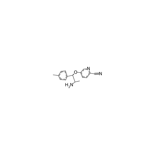 Cc1ccc([C@@H](Oc2ccc(C#N)nc2)C(C)N)cc1